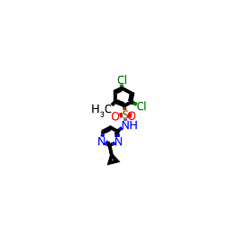 Cc1cc(Cl)cc(Cl)c1S(=O)(=O)Nc1ccnc(C2CC2)n1